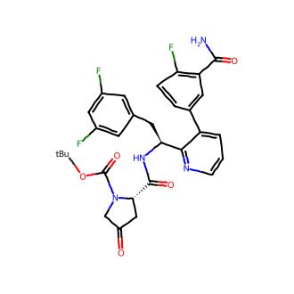 CC(C)(C)OC(=O)N1CC(=O)C[C@H]1C(=O)N[C@@H](Cc1cc(F)cc(F)c1)c1ncccc1-c1ccc(F)c(C(N)=O)c1